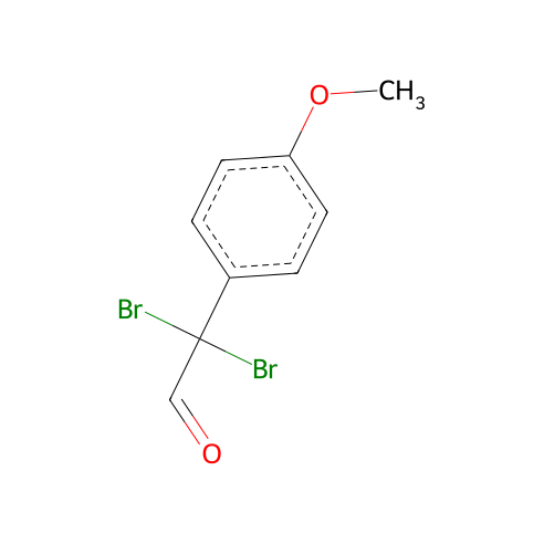 COc1ccc(C(Br)(Br)C=O)cc1